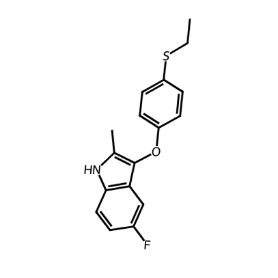 CCSc1ccc(Oc2c(C)[nH]c3ccc(F)cc23)cc1